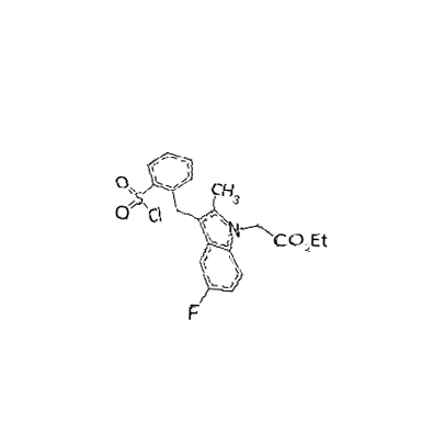 CCOC(=O)Cn1c(C)c(Cc2ccccc2S(=O)(=O)Cl)c2cc(F)ccc21